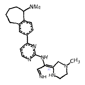 CNC1CCCCc2cc(-c3ccnc(N/C(C=N)=C4\CN(C)CCN4)n3)ccc21